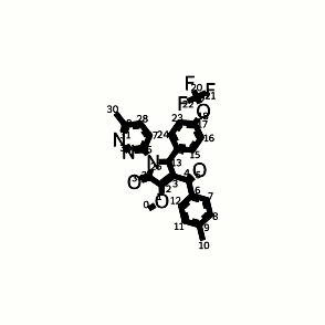 COC1=C(C(=O)c2ccc(C)cc2)C(c2ccc(OC(F)(F)F)cc2)N(c2ccc(C)nn2)C1=O